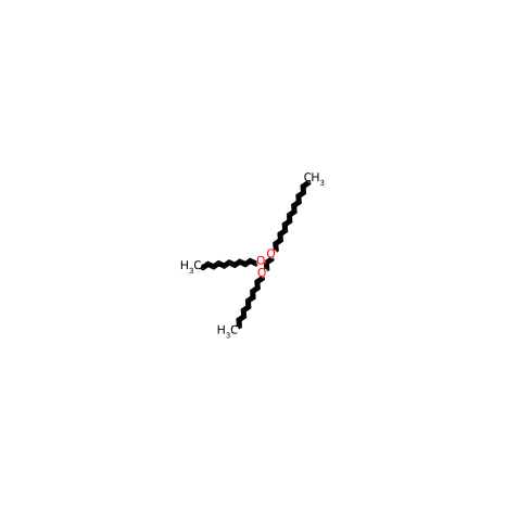 CCCCCCCCCCCCCCCCOCC(COCCCCCCCCCCCC)OCCCCCCCCCCCC